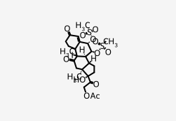 CC(=O)OCC(=O)[C@@]1(O)CC[C@H]2[C@@H]3[C@H](OS(C)(=O)=O)[C@@H](OS(C)(=O)=O)C4=CC(=O)CC[C@]4(C)[C@H]3C(=O)C[C@@]21C